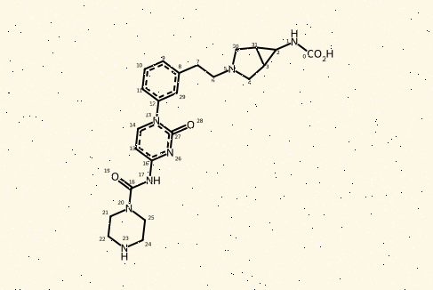 O=C(O)NC1C2CN(CCc3cccc(-n4ccc(NC(=O)N5CCNCC5)nc4=O)c3)CC21